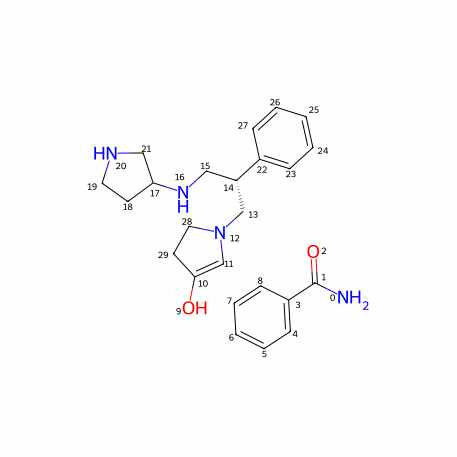 NC(=O)c1ccccc1.OC1=CN(C[C@H](CNC2CCNC2)c2ccccc2)CC1